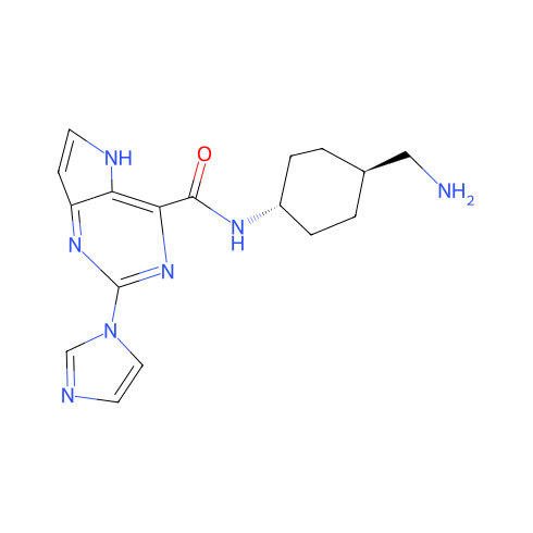 NC[C@H]1CC[C@H](NC(=O)c2nc(-n3ccnc3)nc3cc[nH]c23)CC1